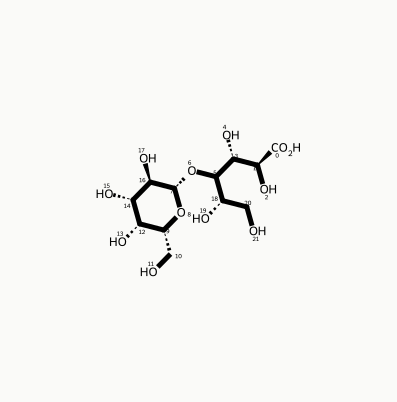 O=C(O)[C@@H](O)[C@@H](O)C(O[C@@H]1O[C@H](CO)[C@H](O)[C@H](O)[C@H]1O)[C@@H](O)CO